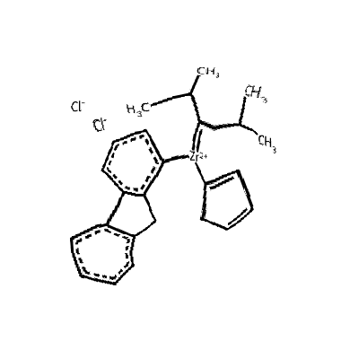 CC(C)[C](C(C)C)=[Zr+2]([C]1=CC=CC1)[c]1cccc2c1Cc1ccccc1-2.[Cl-].[Cl-]